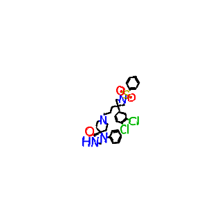 O=C1NCN(c2ccccc2)C12CCN(CCCC1(c3ccc(Cl)c(Cl)c3)CN(S(=O)(=O)c3ccccc3)C1)CC2